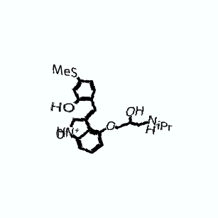 CSc1ccc(C=C2C[NH+]([O-])c3cccc(OCC(O)CNC(C)C)c32)c(O)c1